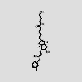 Cc1cccc(C[C@@H](O)/C=C/[C@@H]2[C@H]3CC(CCCCC(=O)NCCCO)=C[C@H]3C[C@H]2O)c1